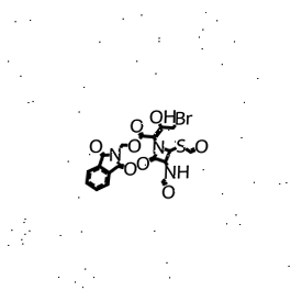 O=CNC1C(=O)N(C(C(=O)OCN2C(=O)c3ccccc3C2=O)=C(O)CBr)C1SC=O